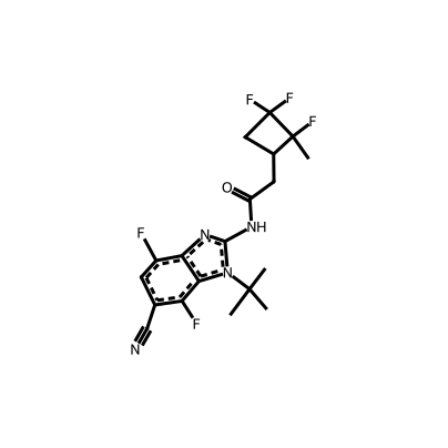 CC(C)(C)n1c(NC(=O)CC2CC(F)(F)C2(C)F)nc2c(F)cc(C#N)c(F)c21